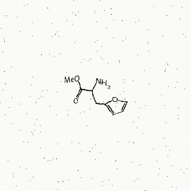 COC(=O)C(N)Cc1ccco1